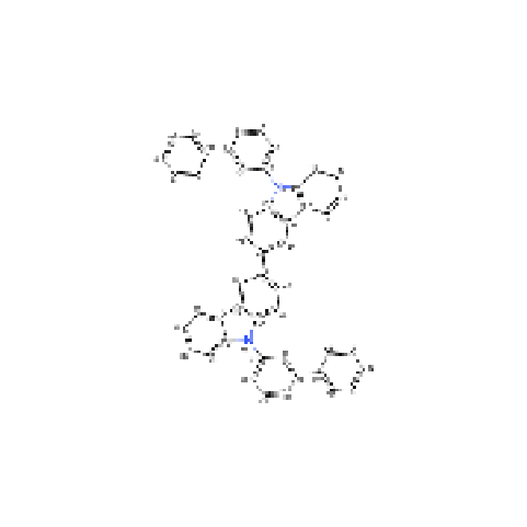 C1=Cc2c(n(-c3cccc(-c4ccccc4)c3)c3ccc(-c4ccc5c(c4)c4ccccc4n5-c4cccc(-c5ccccc5)c4)cc23)CC1